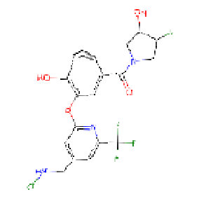 O=C(c1ccc(O)c(Oc2cc(CNCl)cc(C(F)(F)F)n2)c1)N1CC(O)C(F)C1